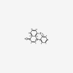 O=c1ccn(-c2ccccc2F)c2ccccc12